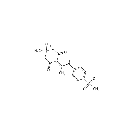 CC(Nc1ccc(S(C)(=O)=O)cc1)=C1C(=O)CC(C)(C)CC1=O